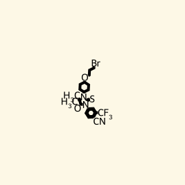 CC1(C)C(=O)N(c2ccc(C#N)c(C(F)(F)F)c2)C(=S)N1C1CCC(OCCCBr)CC1